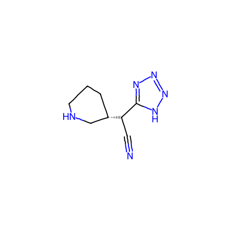 N#CC(c1nnn[nH]1)[C@H]1CCCNC1